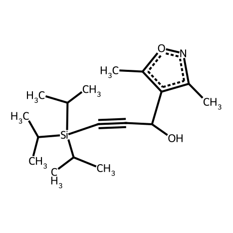 Cc1noc(C)c1C(O)C#C[Si](C(C)C)(C(C)C)C(C)C